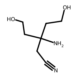 N#CCC(N)(CCO)CCO